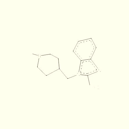 CCOC(=O)c1nc2ccccc2n1CC1CCN(CC)CC1